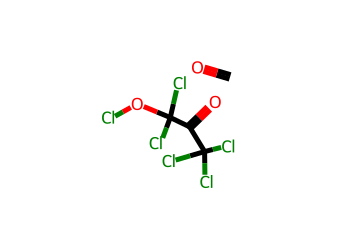 C=O.O=C(C(Cl)(Cl)Cl)C(Cl)(Cl)OCl